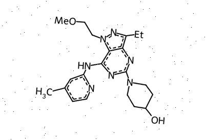 CCc1nn(CCOC)c2c(Nc3cc(C)ccn3)nc(N3CCC(O)CC3)nc12